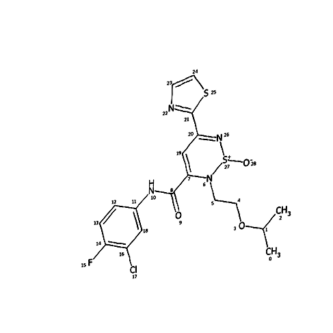 CC(C)OCCN1C(C(=O)Nc2ccc(F)c(Cl)c2)=CC(c2nccs2)=N[S+]1[O-]